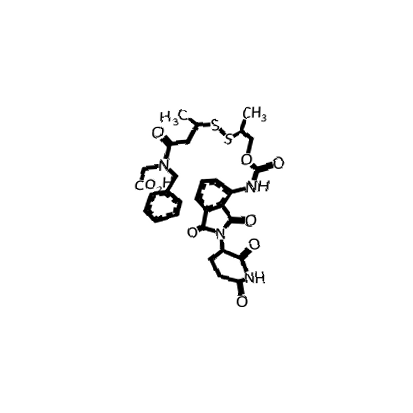 CC(COC(=O)Nc1cccc2c1C(=O)N(C1CCC(=O)NC1=O)C2=O)SSC(C)CC(=O)N(CC(=O)O)Cc1ccccc1